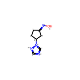 ON=C1CCC(n2cncn2)C1